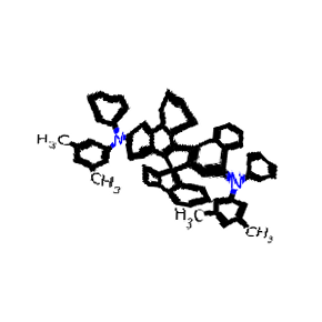 Cc1cc(C)cc(N(c2ccccc2)c2ccc3c4c(c5ccccc5c3c2)-c2c(cc(N(c3ccccc3)c3cc(C)cc(C)c3)c3ccccc23)C42c3ccccc3-c3ccccc32)c1